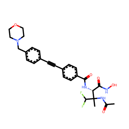 CC(=O)NC(C)(C(F)F)[C@H](NC(=O)c1ccc(C#Cc2ccc(CN3CCOCC3)cc2)cc1)C(=O)NO